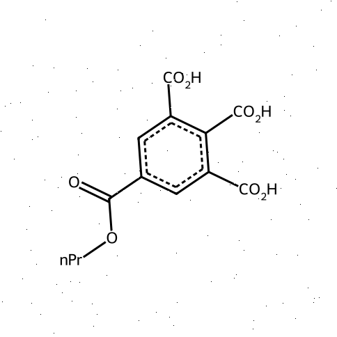 CCCOC(=O)c1cc(C(=O)O)c(C(=O)O)c(C(=O)O)c1